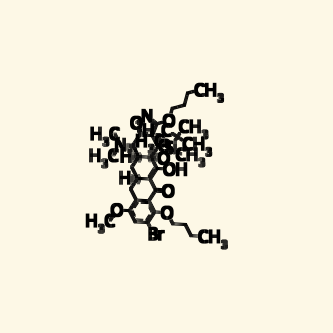 CCCCOc1noc2c1C(=O)[C@@]1(O[Si](C)(C)C(C)(C)C)C(O)=C3C(=O)c4c(c(OC)cc(Br)c4OCCCC)C[C@H]3C[C@H]1[C@@H]2N(C)C